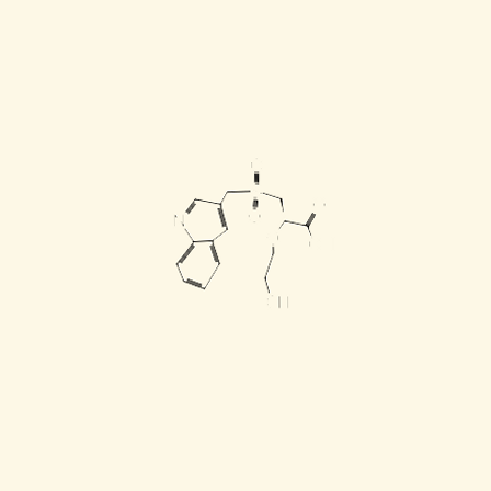 CCCO[C@@H](CS(=O)(=O)Cc1cnc2ccccc2c1)C(=O)O